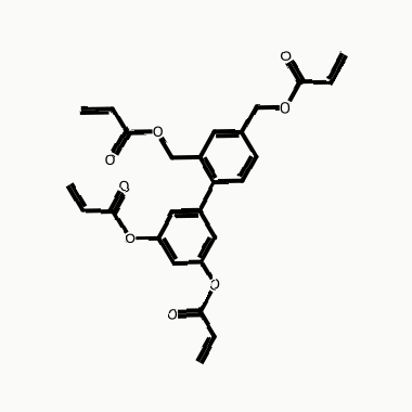 C=CC(=O)OCc1ccc(-c2cc(OC(=O)C=C)cc(OC(=O)C=C)c2)c(COC(=O)C=C)c1